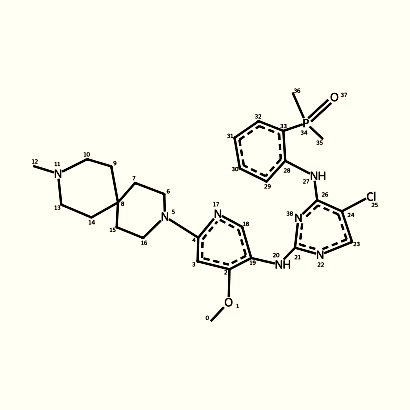 COc1cc(N2CCC3(CCN(C)CC3)CC2)ncc1Nc1ncc(Cl)c(Nc2ccccc2P(C)(C)=O)n1